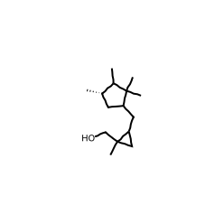 CC1[C@@H](C)CC(CC2CC2(C)CO)C1(C)C